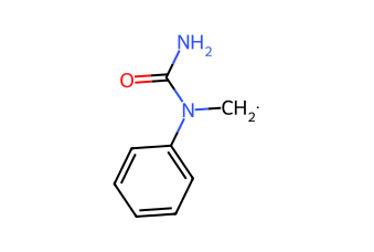 [CH2]N(C(N)=O)c1ccccc1